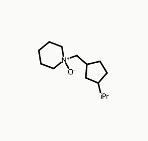 CC(C)C1CCC(C[N+]2([O-])CCCCC2)C1